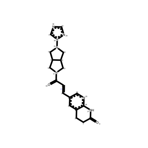 O=C1CCc2cc(/C=C/C(=O)N3CC4CN(n5cncn5)CC4C3)cnc2N1